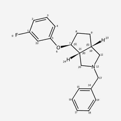 Fc1cccc(O[C@H]2CC[C@@H]3CN(Cc4ccccc4)C[C@@H]32)c1